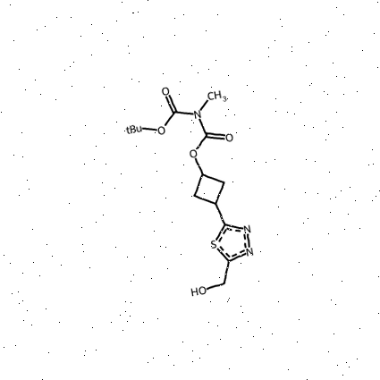 CN(C(=O)OC1CC(c2nnc(CO)s2)C1)C(=O)OC(C)(C)C